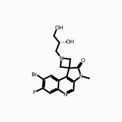 CN1C(=O)C2(CN(C[C@@H](O)CO)C2)c2c1cnc1cc(F)c(Br)cc21